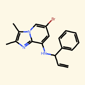 C=CC(Nc1cc(Br)cn2c(C)c(C)nc12)c1ccccc1